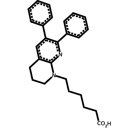 O=C(O)CCCCCN1CCCc2cc(-c3ccccc3)c(-c3ccccc3)nc21